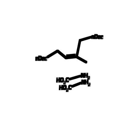 CCCCCCCCCCCC=C(C)CCCCCCCCCCC.NC(=O)O.NC(=O)O